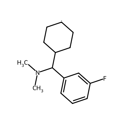 CN(C)C(c1cccc(F)c1)C1CC[CH]CC1